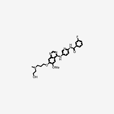 COc1cc2c(Nc3ccc(NC(=O)c4cccc(F)c4)nc3)ncnc2cc1OCCCN(C)CCO